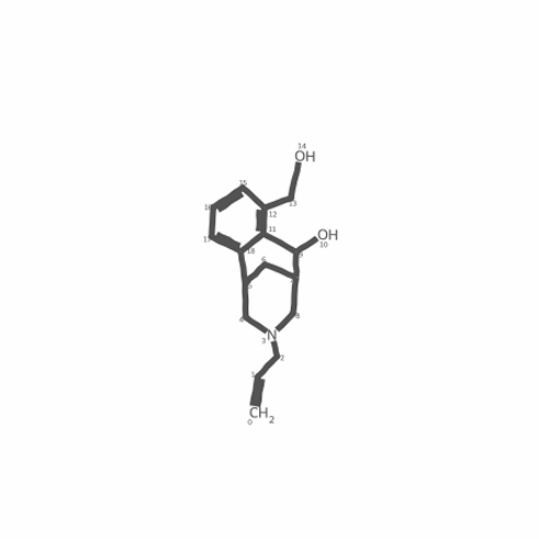 C=CCN1CC2CC(C1)C(O)c1c(CO)cccc12